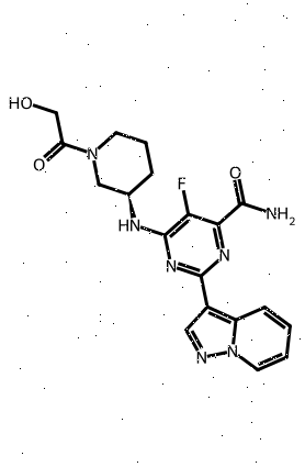 NC(=O)c1nc(-c2cnn3ccccc23)nc(N[C@@H]2CCCN(C(=O)CO)C2)c1F